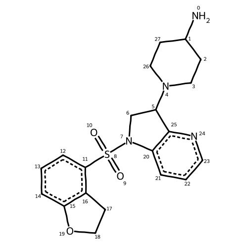 NC1CCN(C2CN(S(=O)(=O)c3cccc4c3CCO4)c3cccnc32)CC1